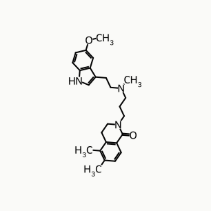 COc1ccc2[nH]cc(CCN(C)CCCN3CCc4c(ccc(C)c4C)C3=O)c2c1